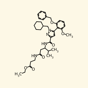 CCOC(=O)CCNC(=O)CC(NC(=O)c1cc(-c2c(OC)cccc2OCc2ccccc2)n(CC2CCCCC2)n1)C(C)C